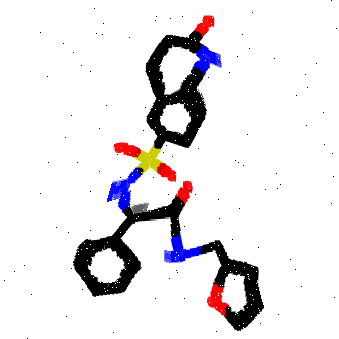 O=C(NCc1ccco1)[C@H](NS(=O)(=O)c1ccc2[nH]c(=O)ccc2c1)c1ccccc1